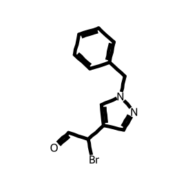 O=CC(Br)c1cnn(Cc2ccccc2)c1